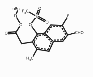 CCCCOOC(=O)Cc1c(C)cc2cc(C=O)c(F)cc2c1OS(=O)(=O)C(F)(F)F